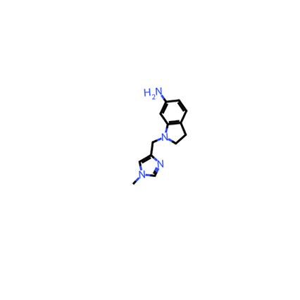 Cn1cnc(CN2CCc3ccc(N)cc32)c1